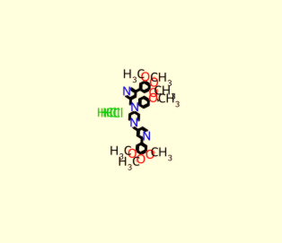 CCOc1ccc(N(Cc2cncc(-c3cc(OC)c(OC)c(OC)c3)c2)C2CCN(Cc3ccnc(-c4cc(OC)c(OC)c(OC)c4)c3)CC2)cc1.Cl.Cl.Cl